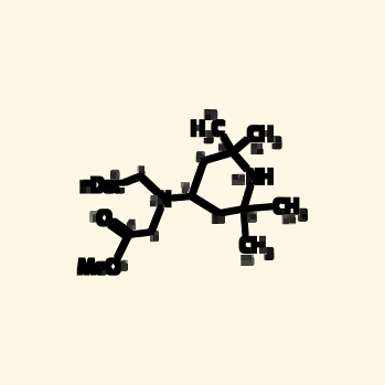 CCCCCCCCCCCN(CC(=O)OC)C1CC(C)(C)NC(C)(C)C1